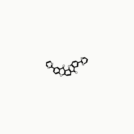 O=c1c2cc(-c3ncccn3)ccc2oc2c1ccc1oc3ccc(-c4ncccn4)cc3c(=O)c12